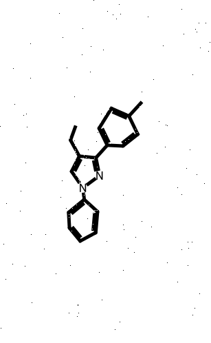 CCc1cn(-c2ccccc2)nc1-c1ccc(C)cc1